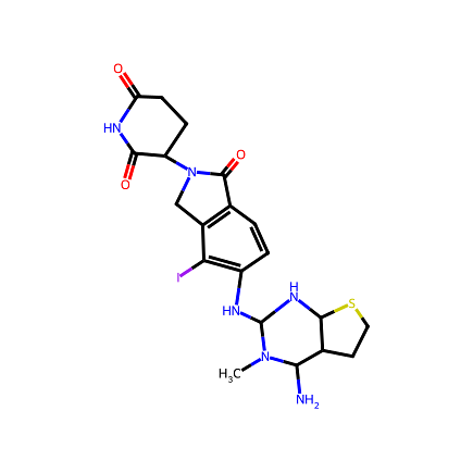 CN1C(Nc2ccc3c(c2I)CN(C2CCC(=O)NC2=O)C3=O)NC2SCCC2C1N